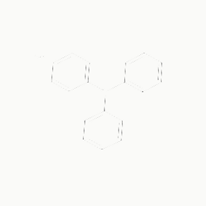 [Se].c1ccc(P(c2ccccc2)c2ccccc2)cc1